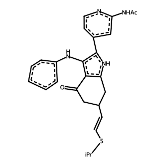 CC(=O)Nc1cc(-c2[nH]c3c(c2Nc2ccccc2)C(=O)CC(/C=C/SC(C)C)C3)ccn1